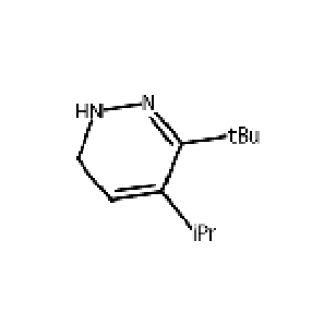 CC(C)C1=CCNN=C1C(C)(C)C